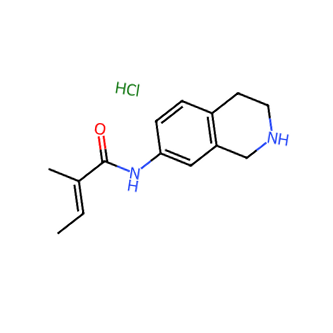 CC=C(C)C(=O)Nc1ccc2c(c1)CNCC2.Cl